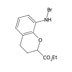 CCOC(=O)C1CCc2cccc(NBr)c2O1